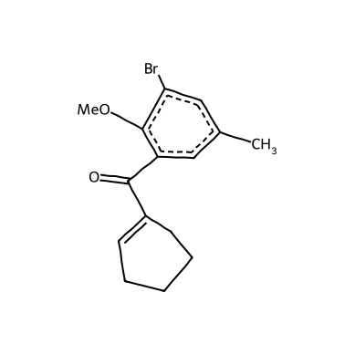 COc1c(Br)cc(C)cc1C(=O)C1=CCCCC1